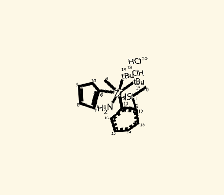 C[SiH](C)[Zr]([CH3])([NH2])([C]1=CC=CC1)([c]1ccccc1)([C](C)(C)C)[C](C)(C)C.Cl.Cl